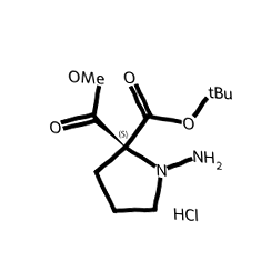 COC(=O)[C@]1(C(=O)OC(C)(C)C)CCCN1N.Cl